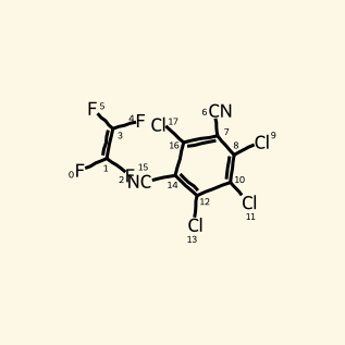 FC(F)=C(F)F.N#Cc1c(Cl)c(Cl)c(Cl)c(C#N)c1Cl